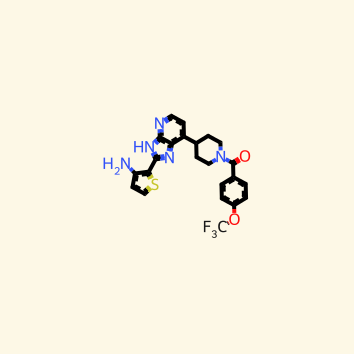 Nc1ccsc1-c1nc2c(C3CCN(C(=O)c4ccc(OC(F)(F)F)cc4)CC3)ccnc2[nH]1